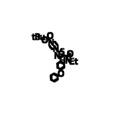 CCNC(=O)c1sc(N2CCN(C(=O)OC(C)(C)C)CC2)nc1-c1ccc(Oc2ccccc2)cc1